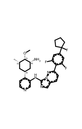 CO[C@@H]1[C@H](N)C[C@H](c2ccncc2Nc2ncc3ccc(-c4c(F)cc(C5(F)CCCC5)cc4F)nn23)C[C@@H]1C